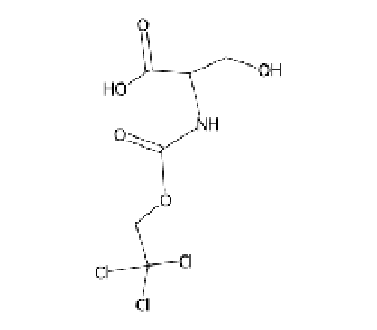 O=C(NC(CO)C(=O)O)OCC(Cl)(Cl)Cl